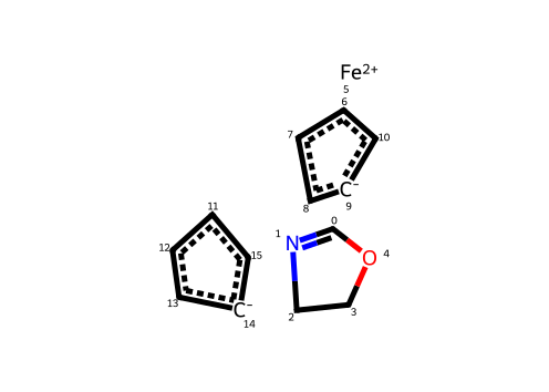 C1=NCCO1.[Fe+2].c1cc[cH-]c1.c1cc[cH-]c1